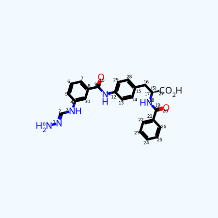 NN=CNc1cccc(C(=O)Nc2ccc(C[C@H](NC(=O)c3ccccc3)C(=O)O)cc2)c1